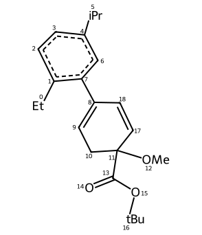 CCc1ccc(C(C)C)cc1C1=CCC(OC)(C(=O)OC(C)(C)C)C=C1